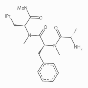 CNC(=O)[C@H](CC(C)C)N(C)C(=O)[C@H](Cc1ccccc1)N(C)C(=O)[C@H](C)N